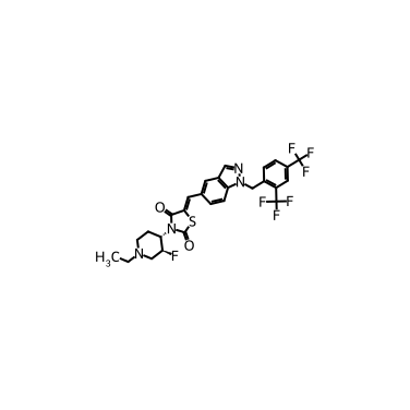 CCN1CC[C@H](N2C(=O)S/C(=C\c3ccc4c(cnn4Cc4ccc(C(F)(F)F)cc4C(F)(F)F)c3)C2=O)[C@@H](F)C1